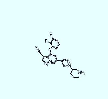 N#Cc1cnn2cc(-c3cnn(C4CCCNC4)c3)cc(Sc3cccc(F)c3F)c12